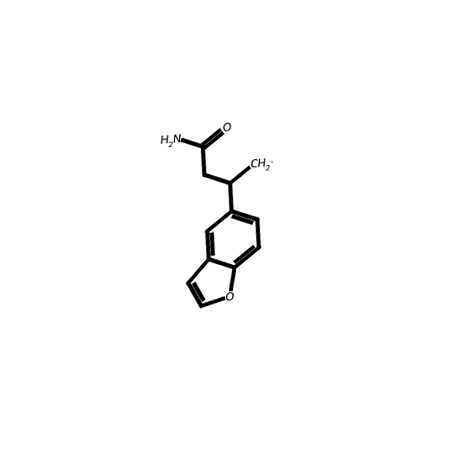 [CH2]C(CC(N)=O)c1ccc2occc2c1